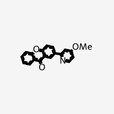 COc1ccnc(-c2ccc3oc4ccccc4c(=O)c3c2)c1